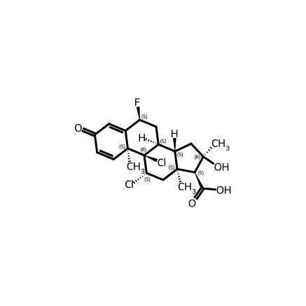 C[C@]12C[C@H](Cl)[C@@]3(Cl)[C@@H](C[C@H](F)C4=CC(=O)C=C[C@@]43C)[C@@H]1C[C@@](C)(O)[C@H]2C(=O)O